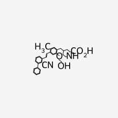 Cc1cc(CC2CCNC(C(=O)O)C2)c(OCCO)cc1C=Cc1cccc(-c2ccccc2)c1C#N